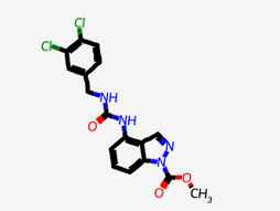 COC(=O)n1ncc2c(NC(=O)NCc3ccc(Cl)c(Cl)c3)cccc21